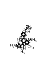 CNC(=O)Nc1ccc2c(c1)C(=O)C(=Cc1c(-c3c(C)nn(C)c3C)[nH]c3c(C)cc(OC)cc13)O2